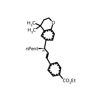 CCCCC[C@H](C=Cc1ccc(C(=O)OCC)cc1)c1ccc2c(c1)C(C)(C)CCO2